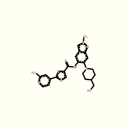 Cc1cc(-c2nc(C(=O)Nc3cc4cn(C)nc4cc3N3CCC(CO)CC3)co2)ccn1